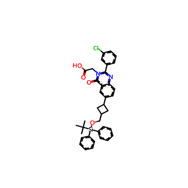 CC(C)(C)[Si](OCC1CC(c2ccc3nc(-c4cccc(Cl)c4)n(CC(=O)O)c(=O)c3c2)C1)(c1ccccc1)c1ccccc1